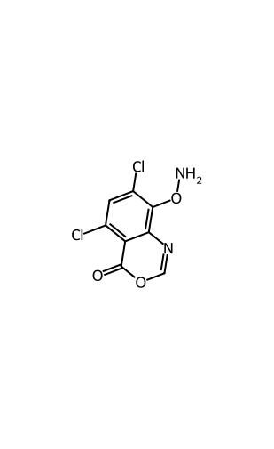 NOc1c(Cl)cc(Cl)c2c(=O)ocnc12